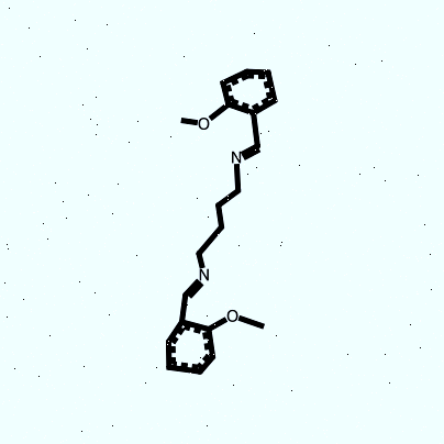 COc1ccccc1/C=N/CCCC/N=C/c1ccccc1OC